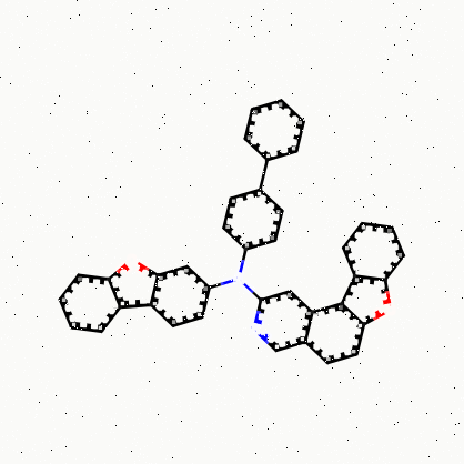 c1ccc(-c2ccc(N(c3ccc4c(c3)oc3ccccc34)c3cc4c(ccc5oc6ccccc6c54)cn3)cc2)cc1